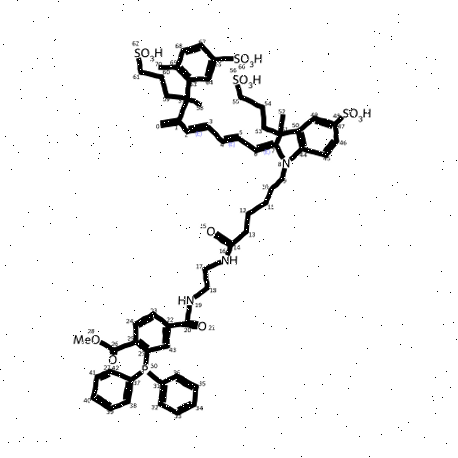 C=C(/C=C/C=C/C=C1/N(CCCCCC(=O)NCCNC(=O)c2ccc(C(=O)OC)c(P(c3ccccc3)c3ccccc3)c2)c2ccc(S(=O)(=O)O)cc2C1(C)CCCS(=O)(=O)O)C(C)(CCCS(=O)(=O)O)c1cc(S(=O)(=O)O)ccc1C